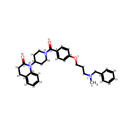 CN(CCCOc1ccc(C(=O)N2CCC(N3C(=O)CCc4ccccc43)CC2)cc1)Cc1ccccc1